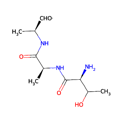 CC(O)[C@H](N)C(=O)N[C@@H](C)C(=O)N[C@@H](C)[C]=O